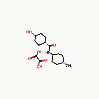 CN1CCC(NC(=O)[C@H]2CC[C@H](O)CC2)CC1.O=C(O)C(=O)O